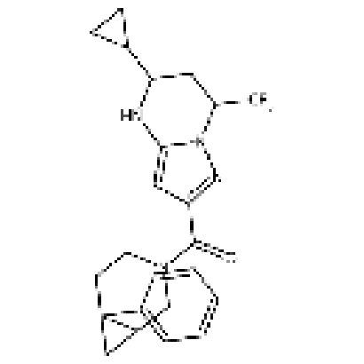 O=C(c1cc2n(n1)C(C(F)(F)F)CC(C1CC1)N2)N1CCC2(c3ccccc3)CC2C1